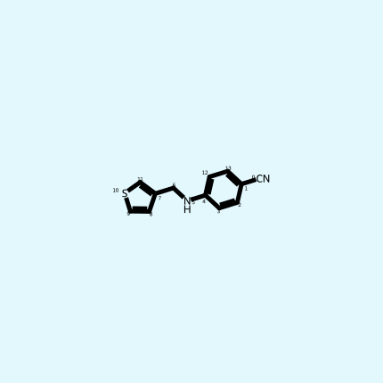 N#Cc1ccc(NCc2ccsc2)cc1